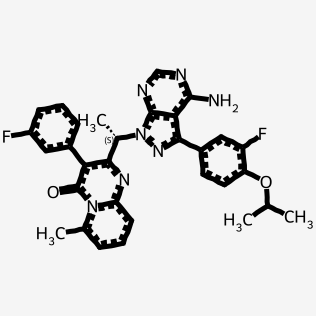 Cc1cccc2nc([C@H](C)n3nc(-c4ccc(OC(C)C)c(F)c4)c4c(N)ncnc43)c(-c3cccc(F)c3)c(=O)n12